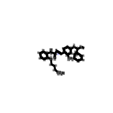 CCCC(Sc1ccc(/C=C/C(=O)Nc2ccccc2OCCCC(=O)O)c(C)c1)c1ccccc1